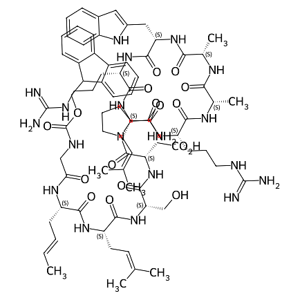 CC=CC[C@H](NC(=O)CNC(=O)OCC1c2ccccc2-c2ccccc21)C(=O)N[C@@H](CC=C(C)C)C(=O)N[C@@H](CO)C(=O)N[C@@H](CC(=O)O)C(=O)N1CCCC1C(=O)N[C@@H](CCCNC(=N)N)C(=O)N[C@@H](C)C(=O)N[C@@H](C)C(=O)N[C@@H](Cc1cc2ccccc2[nH]1)C(=O)N[C@@H](CCCNC(=N)N)C(=O)N[C@@H](CC=C(C)C)C(N)=O